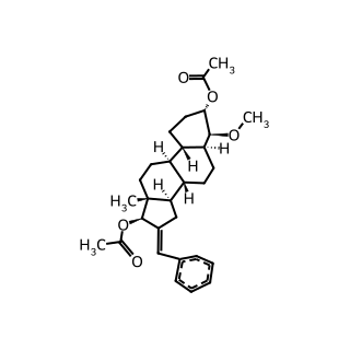 CO[C@H]1[C@H]2CC[C@H]3[C@@H](CC[C@@]4(C)[C@H](OC(C)=O)/C(=C/c5ccccc5)C[C@H]34)[C@@H]2CC[C@@H]1OC(C)=O